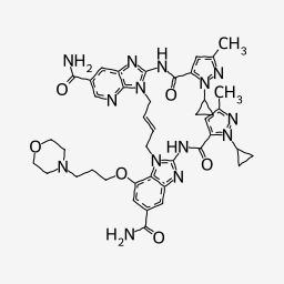 Cc1cc(C(=O)Nc2nc3cc(C(N)=O)cnc3n2CC=CCn2c(NC(=O)c3cc(C)nn3C3CC3)nc3cc(C(N)=O)cc(OCCCN4CCOCC4)c32)n(C2CC2)n1